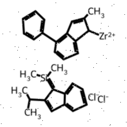 CC(C)C1=Cc2ccccc2C1=[Si](C)C.CC1=Cc2c(-c3ccccc3)cccc2[CH]1[Zr+2].[Cl-].[Cl-]